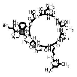 CC[C@H](C)C1NC(=O)[C@@H](CCCNc2nc(C)cc(C)n2)NC(=O)[C@H](CC(C)C)NC(=O)[C@H]([C@H](O)C(C)C)NC(=O)[C@@H](NC(=O)[C@H](CC(C)C)NC(=O)[C@H](N)CC(C)C)[C@@H](c2ccccc2)OC(=O)[C@H](CO)NC(=O)C([C@H](O)C(N)=O)NC(=O)CNC(=O)[C@H]([C@H](C)O)NC1=O